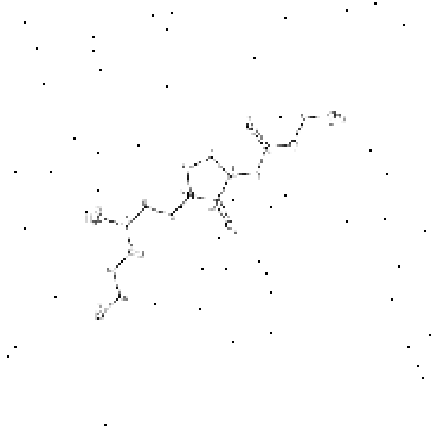 CCOC(=O)CN1CCN(CCC(C)OCCO)C1=O